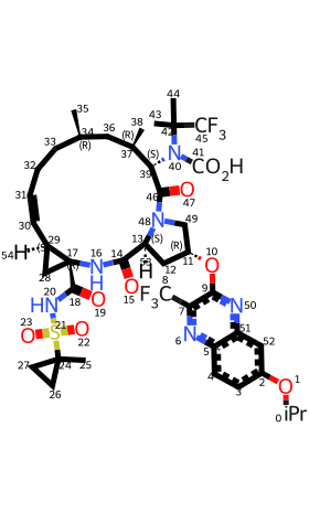 CC(C)Oc1ccc2nc(C(F)(F)F)c(O[C@@H]3C[C@H]4C(=O)N[C@]5(C(=O)NS(=O)(=O)C6(C)CC6)C[C@H]5C=CCC[C@@H](C)C[C@@H](C)[C@H](N(C(=O)O)C(C)(C)C(F)(F)F)C(=O)N4C3)nc2c1